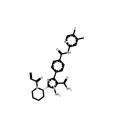 C=CC(=O)N1CCCC[C@H]1c1nc(-c2ccc(C(=O)Nc3cc(C)c(F)cn3)cc2)c(C(N)=O)n1N